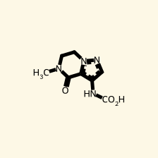 CN1CCn2ncc(NC(=O)O)c2C1=O